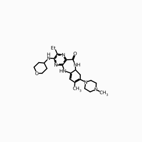 CCc1nc2c(nc1NC1CCOCC1)NC1=CC(C)=C(N3CCN(C)CC3)CC1NC2=O